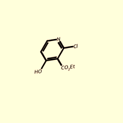 CCOC(=O)c1c(O)ccnc1Cl